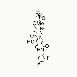 CCOP(C)(=O)CCCN(C)C1Cn2cc(C(=O)NCc3ccc(F)cc3F)c(=O)c(O)c2C(=O)C1(C)CCOC